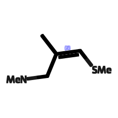 CNC/C(C)=C\SC